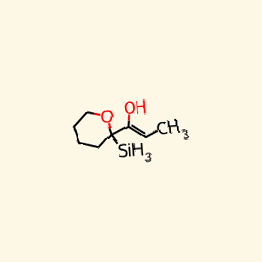 CC=C(O)C1([SiH3])CCCCO1